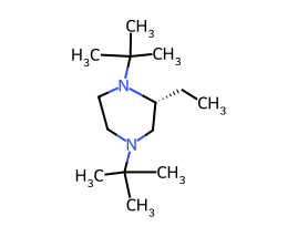 CC[C@@H]1CN(C(C)(C)C)CCN1C(C)(C)C